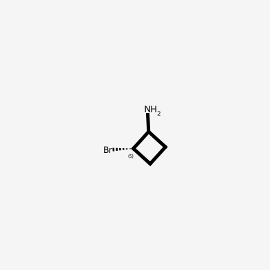 NC1CC[C@@H]1Br